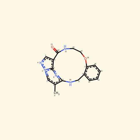 Cc1cn2ncc3c2nc1NCc1ccccc1OCCNC3=O